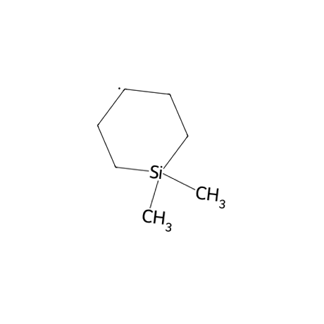 C[Si]1(C)CC[CH]CC1